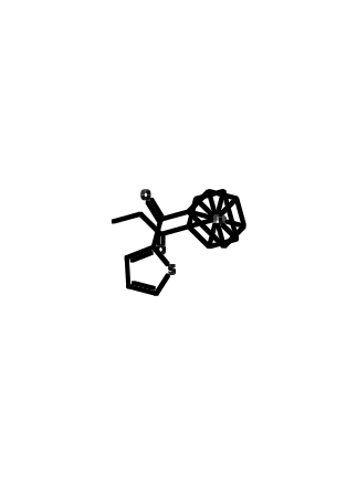 CCC(=O)[C]12[CH]3[CH]4[CH]5[CH]1[Fe]45321678[CH]2[CH]1[CH]6[C]7(C(=O)c1cccs1)[CH]28